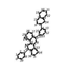 c1ccc(-c2nc3c(cc(-c4cccc(-c5ccc6ccccc6c5)c4)c4cccnc43)c3ccccc23)cc1